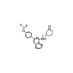 FC(F)Oc1ccc(-c2cc3nccnc3c(NC[C@H]3CCCNC3)n2)cc1